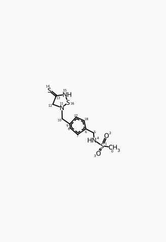 CS(=O)(=O)NCc1ccc(CN2CC(=S)NS2)cc1